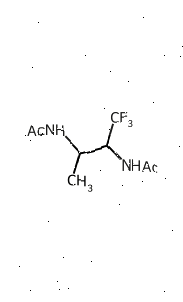 CC(=O)NC(C)C(NC(C)=O)C(F)(F)F